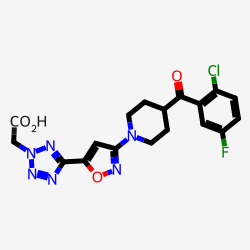 O=C(O)Cn1nnc(-c2cc(N3CCC(C(=O)c4cc(F)ccc4Cl)CC3)no2)n1